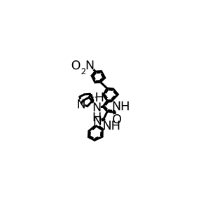 O=c1[nH]c2ccc(-c3ccc([N+](=O)[O-])cc3)cc2c(N[C@H]2CN3CCC2CC3)c1-c1nc2ccccc2[nH]1